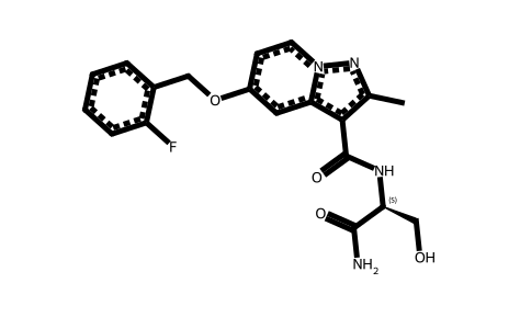 Cc1nn2ccc(OCc3ccccc3F)cc2c1C(=O)N[C@@H](CO)C(N)=O